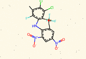 Cc1c(F)c(Nc2c([N+](=O)[O-])cc([N+](=O)[O-])cc2C(F)(F)F)c(Br)c(Cl)c1Cl